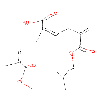 C=C(C)C(=O)OC.C=C(CC=C(C)C(=O)O)C(=O)OCC(C)C